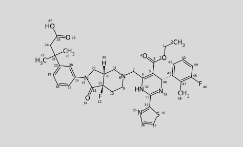 CCOC(=O)C1=C(CN2CC[C@]3(F)C(=O)N(c4cccc(C(C)(C)CC(=O)O)c4)C[C@@H]3C2)NC(c2nccs2)=N[C@H]1c1cccc(F)c1C